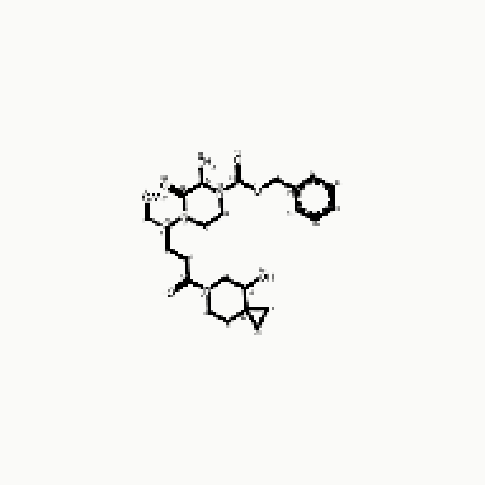 COC[C@H](CCC(=O)N1CCC2(CC2)C(O)C1)N1CCN(C(=O)OCc2ccccc2)C(C)C1=O